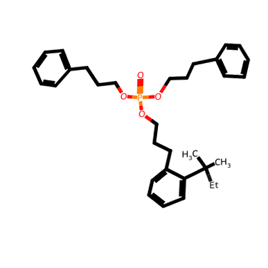 CCC(C)(C)c1ccccc1CCCOP(=O)(OCCCc1ccccc1)OCCCc1ccccc1